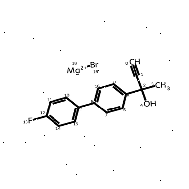 C#CC(C)(O)c1ccc(-c2ccc(F)cc2)cc1.[Mg+2][Br]